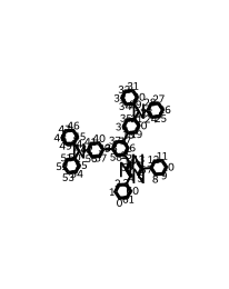 c1ccc(-c2nc(-c3ccccc3)nc(-c3cc(-c4ccc(N(c5ccccc5)c5ccccc5)cc4)cc(-c4ccc(N(c5ccccc5)c5ccccc5)cc4)c3)n2)cc1